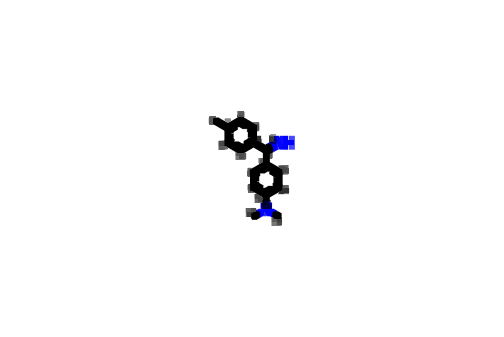 Cc1ccc(C(=N)c2ccc(N(C)C)cc2)cc1